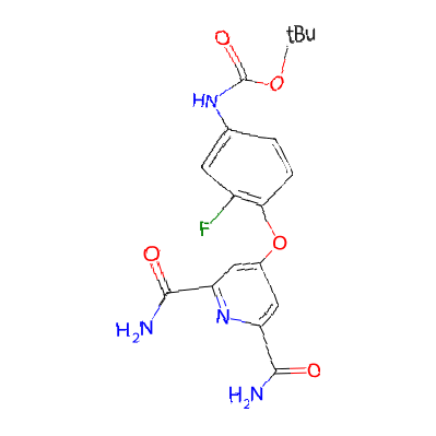 CC(C)(C)OC(=O)Nc1ccc(Oc2cc(C(N)=O)nc(C(N)=O)c2)c(F)c1